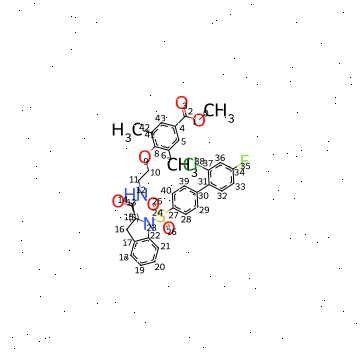 COC(=O)c1cc(C)c(OCCNC(=O)[C@@H]2Cc3ccccc3N2S(=O)(=O)c2ccc(-c3ccc(F)cc3Cl)cc2)c(C)c1